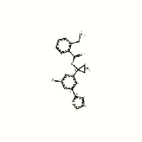 Cl.NCc1ccccc1C(=O)NC1(c2cc(Cl)cc(-c3cccs3)c2)CC1